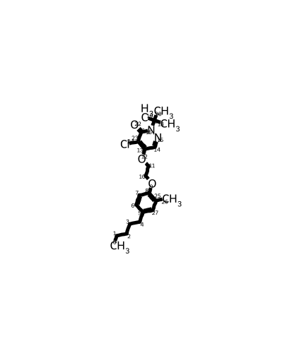 CCCCCc1ccc(OCCOc2cnn(C(C)(C)C)c(=O)c2Cl)c(C)c1